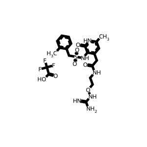 Cc1cc(CC(=O)NCCONC(=N)N)c(NS(=O)(=O)Cc2ccccc2C)c(=O)[nH]1.O=C(O)C(F)(F)F